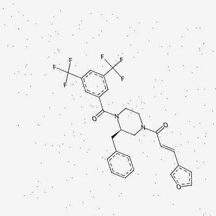 O=C(C=Cc1ccoc1)N1CCN(C(=O)c2cc(C(F)(F)F)cc(C(F)(F)F)c2)[C@H](Cc2ccccc2)C1